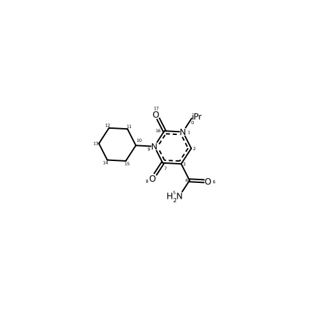 CC(C)n1cc(C(N)=O)c(=O)n(C2CCCCC2)c1=O